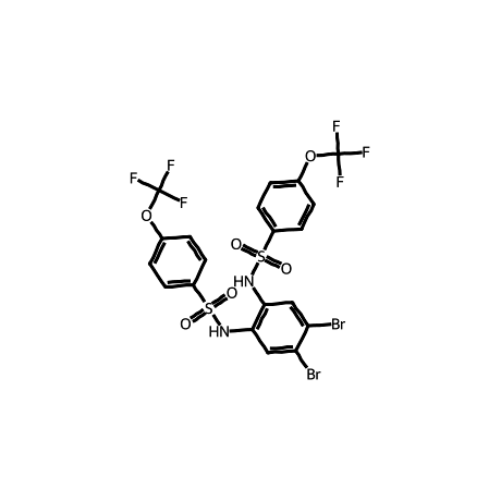 O=S(=O)(Nc1cc(Br)c(Br)cc1NS(=O)(=O)c1ccc(OC(F)(F)F)cc1)c1ccc(OC(F)(F)F)cc1